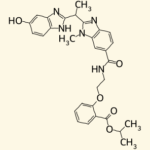 CC(C)OC(=O)c1ccccc1OCCNC(=O)c1ccc2nc(C(C)c3nc4cc(O)ccc4[nH]3)n(C)c2c1